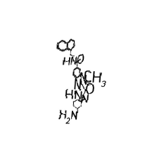 Cn1c(C(=O)c2nc3c([nH]2)CCC(CN)C3)nc2ccc(C(=O)NCCc3cccc4ccccc34)cc21